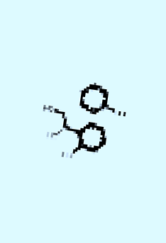 OC[C@@H](O)c1ccccc1O.Oc1ccccc1